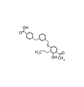 CCCc1c(SCc2cccc(Cc3ccc(C(=O)O)cc3)c2)ccc(C(C)=O)c1O